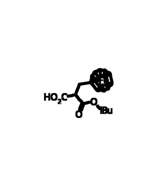 CCC(C)OC(=O)C(C[C]12[CH]3[CH]4[CH]5[CH]1[Fe]45321678[CH]2[CH]1[CH]6[CH]7[CH]28)C(=O)O